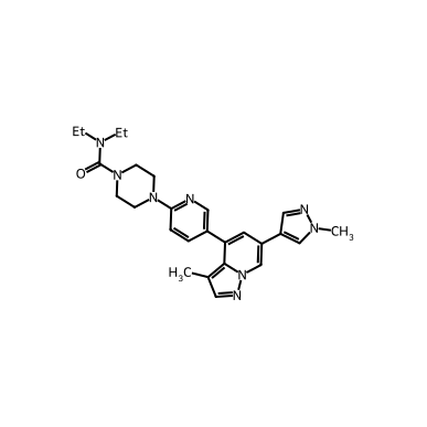 CCN(CC)C(=O)N1CCN(c2ccc(-c3cc(-c4cnn(C)c4)cn4ncc(C)c34)cn2)CC1